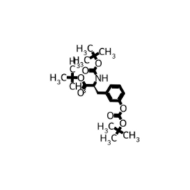 CC(C)(C)OC(=O)N[C@@H](Cc1cccc(OC(=O)OC(C)(C)C)c1)C(=O)OC(C)(C)C